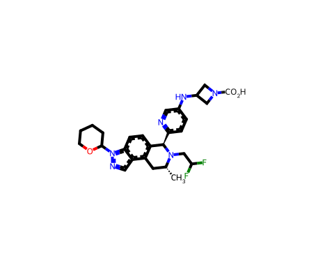 C[C@@H]1Cc2c(ccc3c2cnn3C2CCCCO2)[C@@H](c2ccc(NC3CN(C(=O)O)C3)cn2)N1CC(F)F